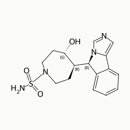 NS(=O)(=O)N1CC[C@H]([C@@H]2c3ccccc3-c3cncn32)[C@@H](O)CC1